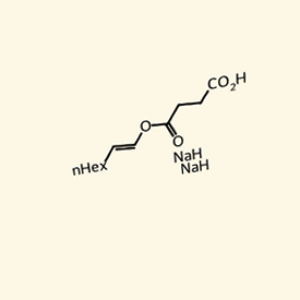 CCCCCCC=COC(=O)CCC(=O)O.[NaH].[NaH]